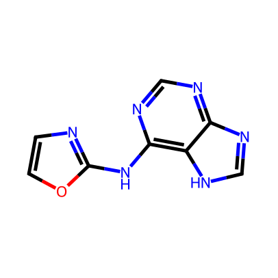 c1coc(Nc2ncnc3nc[nH]c23)n1